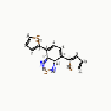 [c]1ccc(-c2ccc(-c3cc[c]s3)c3nsnc23)s1